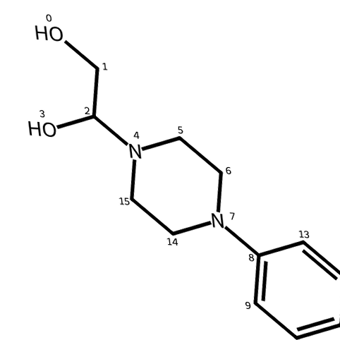 OCC(O)N1CCN(c2ccccc2)CC1